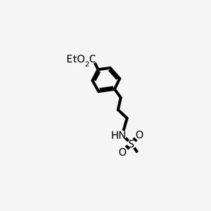 CCOC(=O)c1ccc(CCCNS(C)(=O)=O)cc1